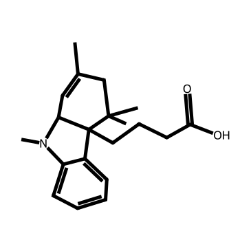 CC1=CC2N(C)c3ccccc3C2(CCCC(=O)O)C(C)(C)C1